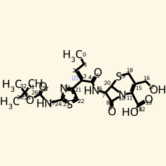 CC/C=C(\C(=O)NC1C(=O)N2C(C(=O)O)=C(CO)CSC12)c1csc(NC(=O)OC(C)(C)C)n1